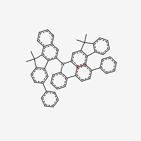 CC1(C)c2ccccc2-c2ccc(N(c3ccccc3-c3ccc(-c4ccccc4)cc3)c3cc4ccccc4c4c3-c3cc(-c5ccccc5)ccc3C4(C)C)cc21